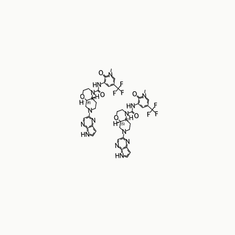 Cn1cc(C(F)(F)F)cc(NC(=O)N2CCO[C@@H]3CN(c4cnc5[nH]ccc5n4)CC[C@H]32)c1=O.Cn1cc(C(F)(F)F)cc(NC(=O)N2CCO[C@H]3CN(c4cnc5[nH]ccc5n4)CC[C@@H]32)c1=O